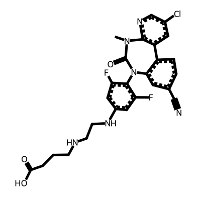 CN1C(=O)N(c2c(F)cc(NCCNCCCC(=O)O)cc2F)c2cc(C#N)ccc2-c2cc(Cl)cnc21